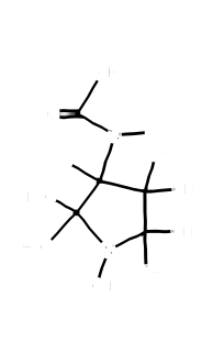 CC(=O)N(C)C1(C)C(C)(C)N(C)C(C)(C)C1(C)C